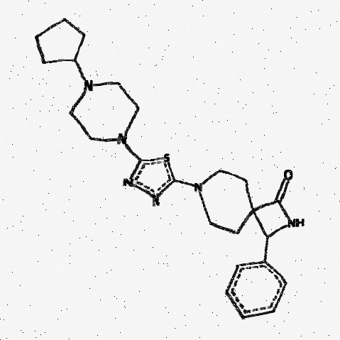 O=C1NC(c2ccccc2)C12CCN(c1nnc(N3CCN(C4CCCC4)CC3)s1)CC2